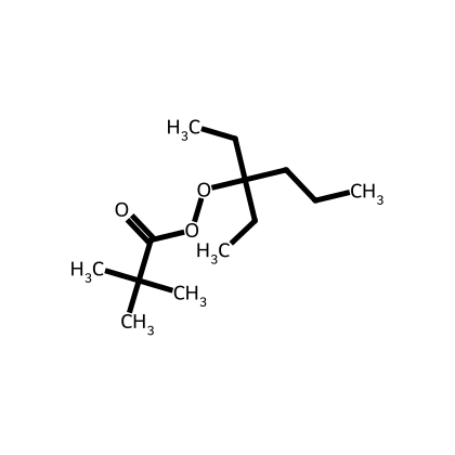 CCCC(CC)(CC)OOC(=O)C(C)(C)C